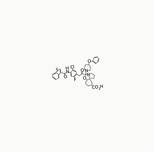 O=C(Nc1cc(F)c(CC(=O)C(OC2CCC(C(=O)O)CC2)(N2CCCC2)N2CCC(Oc3ccccc3)CC2)cc1Cl)c1csc2ccccc12